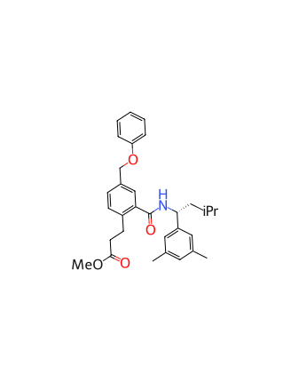 COC(=O)CCc1ccc(COc2ccccc2)cc1C(=O)N[C@H](CC(C)C)c1cc(C)cc(C)c1